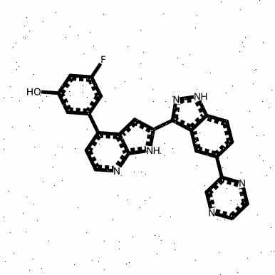 Oc1cc(F)cc(-c2ccnc3[nH]c(-c4n[nH]c5ccc(-c6cnccn6)cc45)cc23)c1